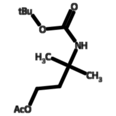 CC(=O)OCCC(C)(C)NC(=O)OC(C)(C)C